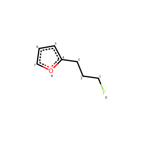 FC[CH]Cc1ccco1